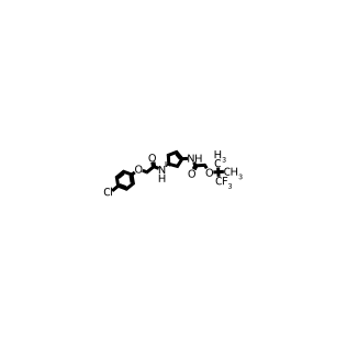 CC(C)(OCC(=O)NC1=CC[C@@H](NC(=O)COc2ccc(Cl)cc2)C1)C(F)(F)F